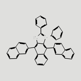 c1ccc(-c2[nH]c3c(-c4ccc5ccccc5c4)c4ccccc4c(-c4ccc5ccccc5c4)c3[n+]2-c2ccccc2)cc1